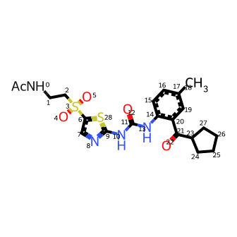 CC(=O)NCCS(=O)(=O)c1cnc(NC(=O)Nc2ccc(C)cc2C(=O)C2CCCC2)s1